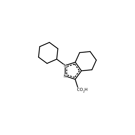 O=C(O)c1nn(C2CCCCC2)c2c1CCCC2